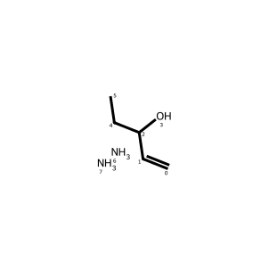 C=CC(O)CC.N.N